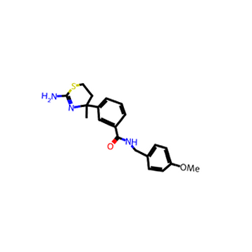 COc1ccc(CNC(=O)c2cccc(C3(C)CCSC(N)=N3)c2)cc1